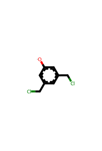 [O]c1cc(CCl)cc(CCl)c1